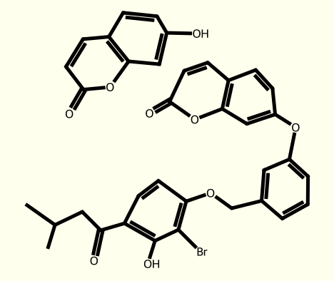 CC(C)CC(=O)c1ccc(OCc2cccc(Oc3ccc4ccc(=O)oc4c3)c2)c(Br)c1O.O=c1ccc2ccc(O)cc2o1